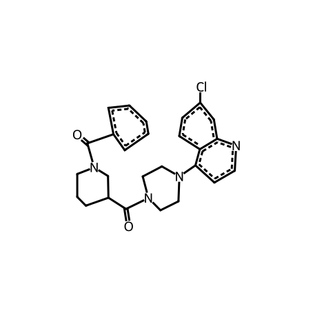 O=C(c1ccccc1)N1CCCC(C(=O)N2CCN(c3ccnc4cc(Cl)ccc34)CC2)C1